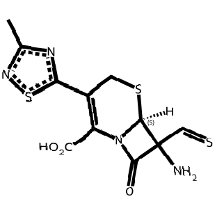 Cc1nsc(C2=C(C(=O)O)N3C(=O)C(N)(C=S)[C@@H]3SC2)n1